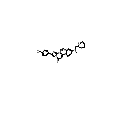 CCCCCn1c(-c2ccc(N(C)CC3CCCCO3)cc2)cc(=O)n2cc(-c3ccc(Cl)cc3)nc12